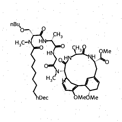 CCCCCCCCCCCCCCCCCC(=O)N(C)[C@H](COCCCC)C(=O)N[C@H](C)C(=O)NCC(=O)N(C)[C@@H]1C(=O)N[C@@H](C)C(=O)N[C@H](C(=O)OC)CC2=CC[C@H](OC)C(=C2)C2=C(OC)C=C[C@H]1C2